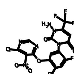 Nn1c(C(F)(F)F)cc(=O)n(-c2cc(Oc3ncnc(Cl)c3[N+](=O)[O-])c(Cl)cc2F)c1=O